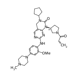 C=CC(=O)N1CC[C@H](N2C(=O)N(C3CCCC3)Cc3cnc(Nc4ccc(N5CCN(C)CC5)cc4OC)nc32)C1